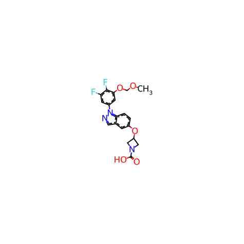 COCOc1cc(-n2ncc3cc(OC4CN(C(=O)O)C4)ccc32)cc(F)c1F